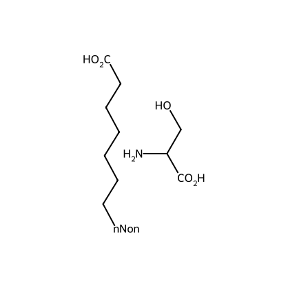 CCCCCCCCCCCCCCCC(=O)O.NC(CO)C(=O)O